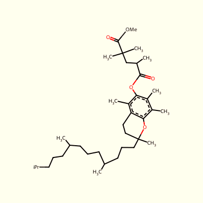 COC(=O)C(C)(C)CC(C)C(=O)Oc1c(C)c(C)c2c(c1C)CCC(C)(CCCC(C)CCCC(C)CCCC(C)C)O2